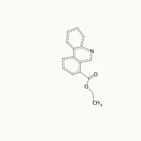 CCOC(=O)c1cccc2c1cnc1ccccc12